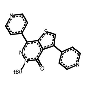 CC(C)(C)n1nc(-c2ccncc2)c2scc(-c3ccncc3)c2c1=O